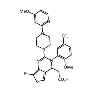 COc1ccnc(N2CCN(C3=Nc4c(csc4F)C(CC(=O)O)N3c3cc(C(F)(F)F)ccc3OC)CC2)c1